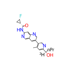 [2H][C@@](O)(CCC)c1cc(C)c(-c2cnc3cc(NC(=O)[C@@H]4C[C@@H]4F)ncc3c2)cn1